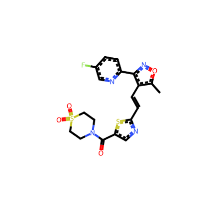 Cc1onc(-c2ccc(F)cn2)c1/C=C/c1ncc(C(=O)N2CCS(=O)(=O)CC2)s1